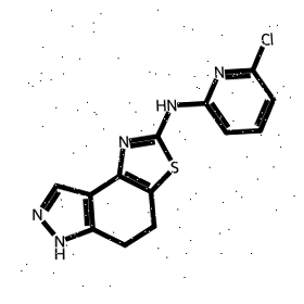 Clc1cccc(Nc2nc3c(s2)CCc2[nH]ncc2-3)n1